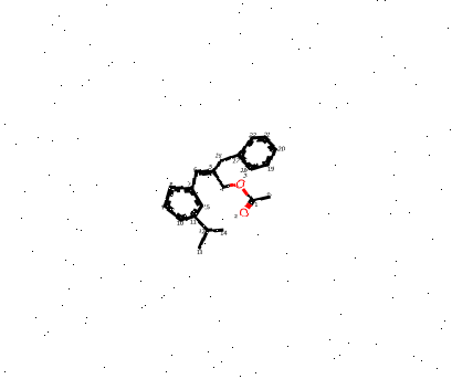 CC(=O)OCC(=Cc1cccc(C(C)C)c1)Cc1ccccc1